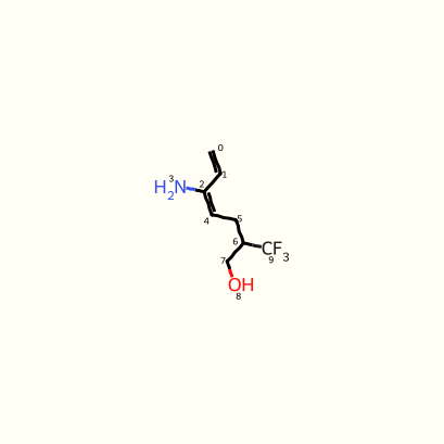 C=C/C(N)=C\CC(CO)C(F)(F)F